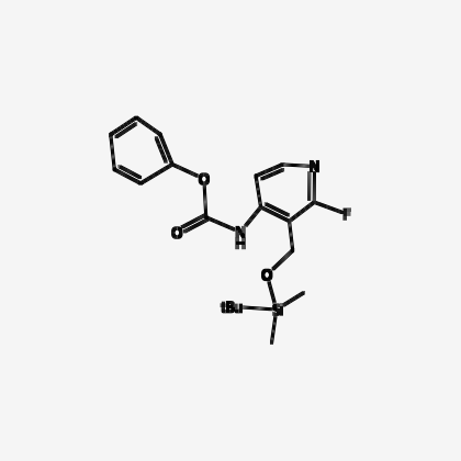 CC(C)(C)[Si](C)(C)OCc1c(NC(=O)Oc2ccccc2)ccnc1F